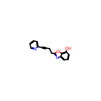 Oc1cccc2nc(CCC#Cc3ccccn3)oc12